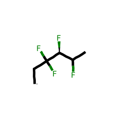 [CH2]CC(F)(F)[C@@H](F)C(C)F